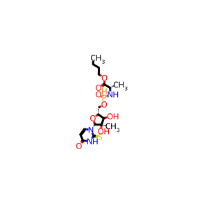 CCCCOC(=O)[C@H](C)N[PH](=O)OC[C@H]1O[C@@H](n2ccc(=O)[nH]c2=S)[C@](C)(O)C1O